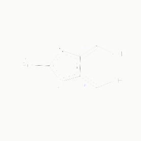 C/C=c1/nc(C(C)(C)C)o/c1=C/C